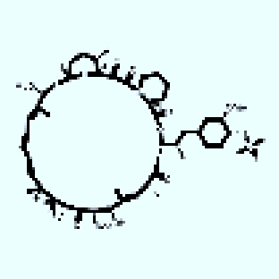 [2H]C1(C)[C@@H](C)C(=O)[C@H](OC)[C@H](O)/C(C)=C/[C@@H](C)C(=O)C[C@@H]([C@H](C)C[C@@H]2CC[C@@H](OP(C)(C)=O)[C@H](OC)C2)OC(=O)[C@@H]2CCCCN2C(=O)C(=O)[C@]2(O)O[C@@H](CC[C@H]2C)C[C@H](OC)/C(C)=C/C=C/C=C/[C@@]1([2H])C